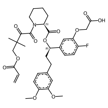 C=CC(=O)OCC(C)(C)C(=O)C(=O)N1CCCC[C@H]1C(=O)O[C@H](CCc1ccc(OC)c(OC)c1)c1ccc(F)c(OCC(=O)O)c1